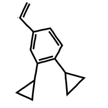 C=[C]c1ccc(C2CC2)c(C2CC2)c1